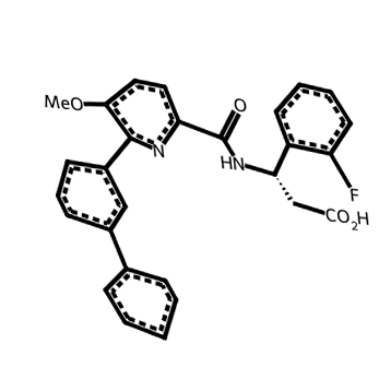 COc1ccc(C(=O)N[C@@H](CC(=O)O)c2ccccc2F)nc1-c1cccc(-c2ccccc2)c1